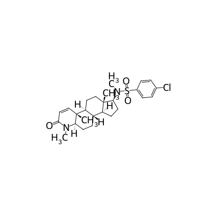 CN1C(=O)C=C[C@]2(C)[C@H]3CC[C@]4(C)[C@@H](N(C)S(=O)(=O)c5ccc(Cl)cc5)CC[C@H]4[C@@H]3CC[C@@H]12